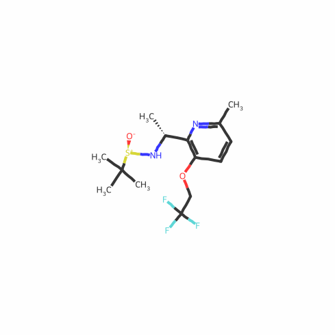 Cc1ccc(OCC(F)(F)F)c([C@@H](C)N[S@+]([O-])C(C)(C)C)n1